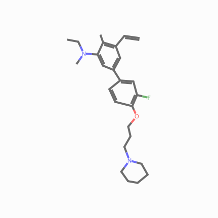 C=Cc1cc(-c2ccc(OCCCN3CCCCC3)c(F)c2)cc(N(C)CC)c1C